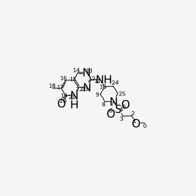 COCCS(=O)(=O)N1CCC(Nc2ncc3cc(C)c(=O)[nH]c3n2)CC1